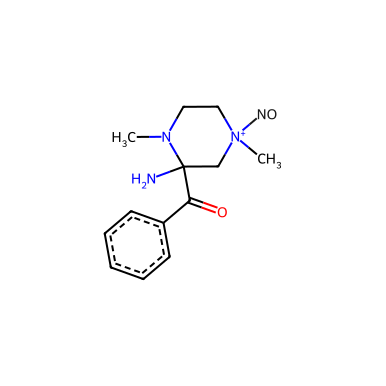 CN1CC[N+](C)(N=O)CC1(N)C(=O)c1ccccc1